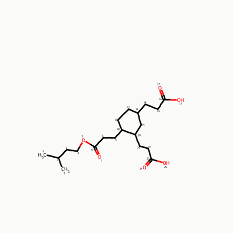 CC(C)CCOC(=O)CCC1CCC(CCC(=O)O)CC1CCC(=O)O